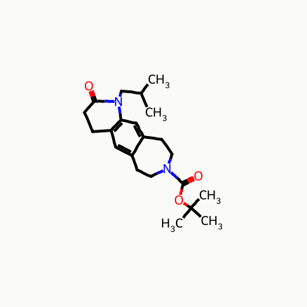 CC(C)CN1C(=O)CCc2cc3c(cc21)CCN(C(=O)OC(C)(C)C)CC3